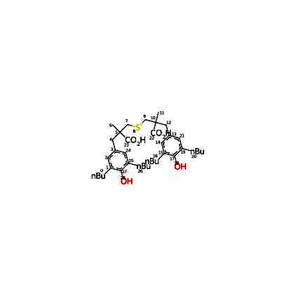 CCCCc1cc(CC(C)(CSCC(C)(Cc2cc(CCCC)c(O)c(CCCC)c2)C(=O)O)C(=O)O)cc(CCCC)c1O